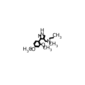 CCCN(C)Cc1c[nH]nc1-c1ccc(OC)cc1OC